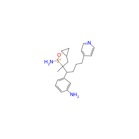 CC(CC1CC1)(C(CCCc1ccncc1)c1cccc(N)c1)[S+](N)[O-]